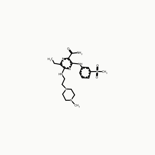 CCc1nc(C(N)=O)c(Nc2cccc(S(C)(=O)=O)c2)nc1NCCN1CCN(C)CC1